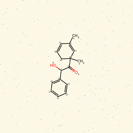 CC1=CC(C)(C(=O)C(O)c2ccccc2)CC=C1